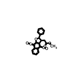 COC(=O)CC1c2c(c(=C=O)c3ccccc3c2=C=O)OC1c1ccccc1